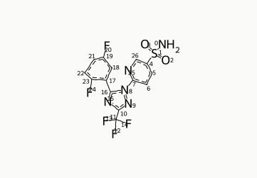 NS(=O)(=O)c1ccc(-n2nc(C(F)(F)F)nc2-c2cc(F)ccc2F)nc1